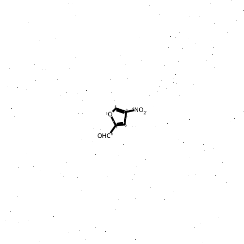 O=Cc1cc([N+](=O)[O-])co1